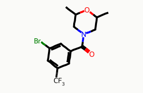 CC1CN(C(=O)c2cc(Br)cc(C(F)(F)F)c2)CC(C)O1